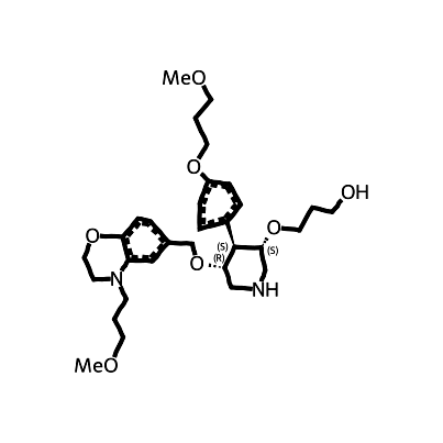 COCCCOc1ccc([C@@H]2[C@@H](OCc3ccc4c(c3)N(CCCOC)CCO4)CNC[C@H]2OCCCO)cc1